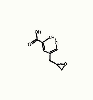 CC(=CC(=CCl)CC1CO1)C(=O)O